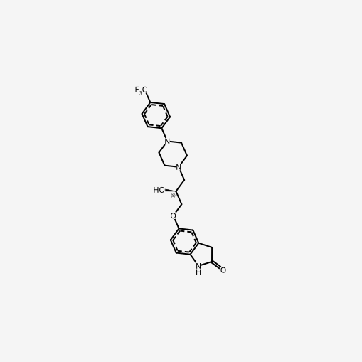 O=C1Cc2cc(OC[C@@H](O)CN3CCN(c4ccc(C(F)(F)F)cc4)CC3)ccc2N1